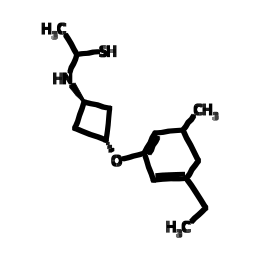 CCC1=CC(O[C@H]2C[C@H](NC(C)S)C2)=CC(C)C1